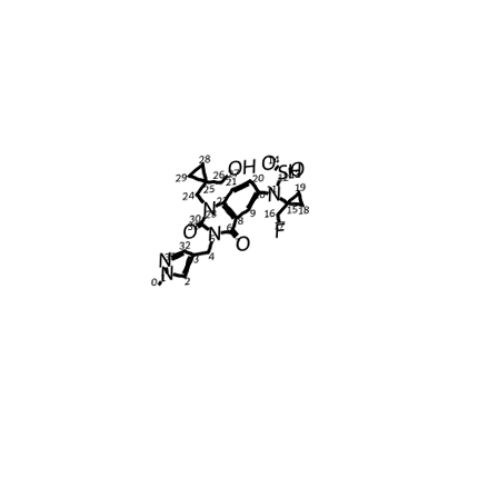 Cn1cc(Cn2c(=O)c3cc(N([SH](=O)=O)C4(CF)CC4)ccc3n(CC3(CO)CC3)c2=O)cn1